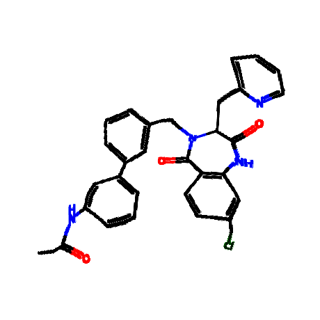 CC(=O)Nc1cccc(-c2cccc(CN3C(=O)c4ccc(Cl)cc4NC(=O)C3Cc3ccccn3)c2)c1